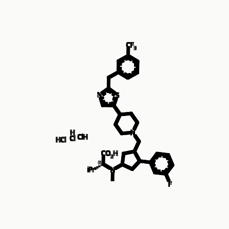 CC(C)[C@H](C(=O)O)N(C)C1CC(CN2CCC(c3cnc(Cc4cccc(C(F)(F)F)c4)s3)CC2)C(c2cccc(F)c2)C1.Cl.Cl.Cl